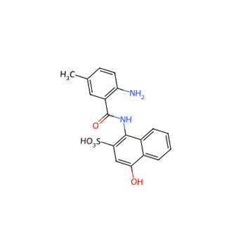 Cc1ccc(N)c(C(=O)Nc2c(S(=O)(=O)O)cc(O)c3ccccc23)c1